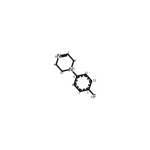 Fc1ccc(N2CC=NCC2)cc1